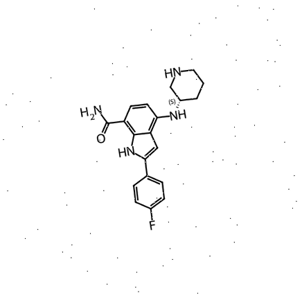 NC(=O)c1ccc(N[C@H]2CCCNC2)c2cc(-c3ccc(F)cc3)[nH]c12